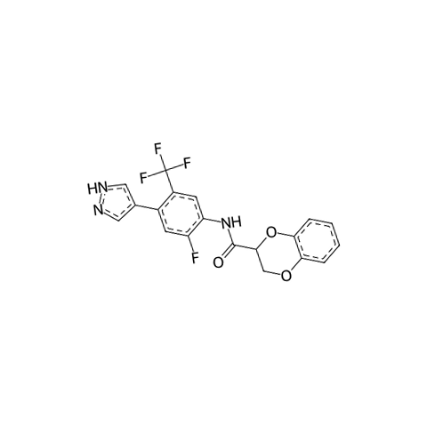 O=C(Nc1cc(C(F)(F)F)c(-c2cn[nH]c2)cc1F)C1COc2ccccc2O1